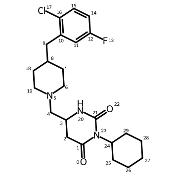 O=C1CC(CN2CCC(Cc3cc(F)ccc3Cl)CC2)NC(=O)N1C1CCCCC1